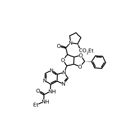 CCNC(=O)Nc1ncnc2c1ncn2C1OC(C(=O)N2CCC[C@H]2C(=O)OCC)C2O[C@H](c3ccccc3)OC21